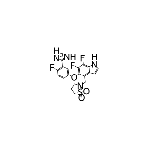 N=C(N)c1cc(Oc2c(F)c(F)c3[nH]ccc3c2CN2CCCS2(=O)=O)ccc1F